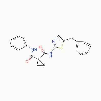 O=C(Nc1ccccc1)C1(C(=O)Nc2ncc(Cc3ccccc3)s2)CC1